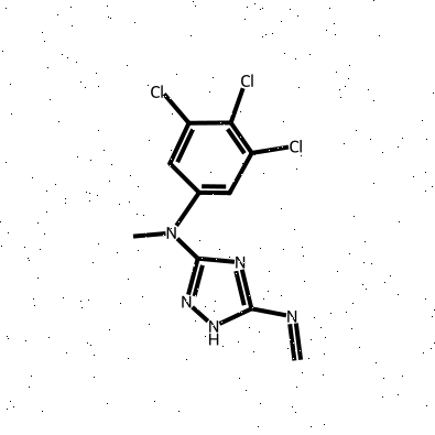 C=Nc1nc(N(C)c2cc(Cl)c(Cl)c(Cl)c2)n[nH]1